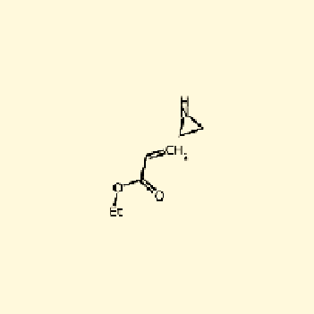 C1CN1.C=CC(=O)OCC